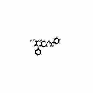 CC(C)C(=O)N(c1ccccc1)C1CCN(CC(O)c2ccccc2)CC1